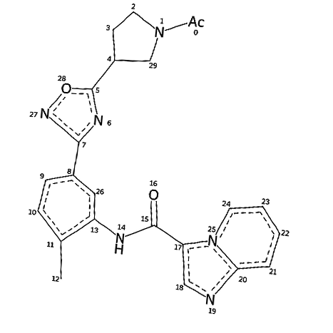 CC(=O)N1CCC(c2nc(-c3ccc(C)c(NC(=O)c4cnc5ccccn45)c3)no2)C1